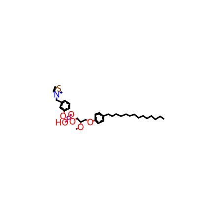 CCCCCCCCCCCCCCc1ccc(OCC(COP(=O)(O)Oc2cccc(C[n+]3ccsc3)c2)OC)cc1